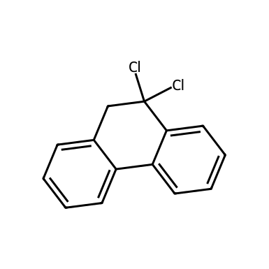 ClC1(Cl)Cc2ccccc2-c2ccccc21